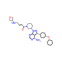 Nc1ncnc2c1c(-c1ccc(Oc3ccccc3)cc1)nn2C1CCCN(C(=O)/C=C/CNC2COC2)C1